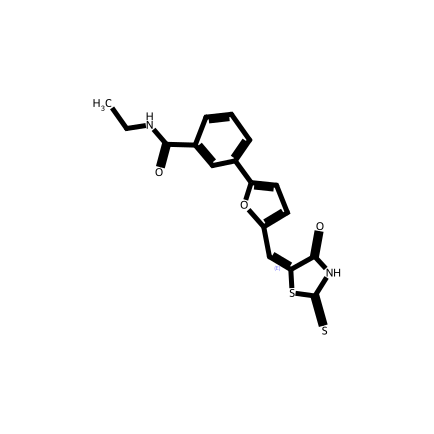 CCNC(=O)c1cccc(-c2ccc(/C=C3/SC(=S)NC3=O)o2)c1